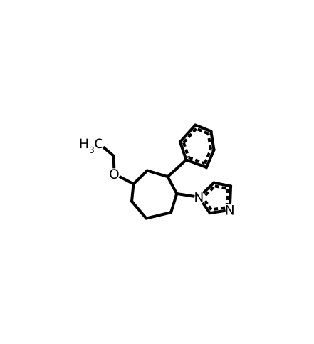 CCOC1CCCC(n2ccnc2)C(c2ccccc2)C1